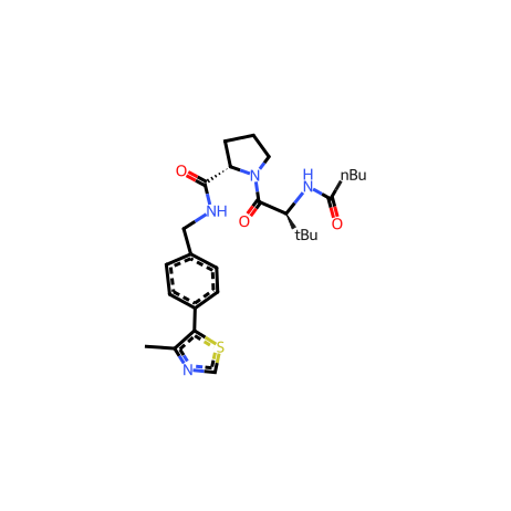 CCCCC(=O)N[C@H](C(=O)N1CCC[C@H]1C(=O)NCc1ccc(-c2scnc2C)cc1)C(C)(C)C